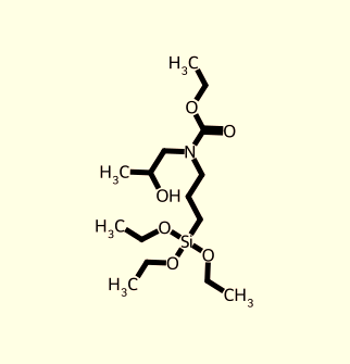 CCOC(=O)N(CCC[Si](OCC)(OCC)OCC)CC(C)O